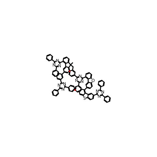 CC1(Cc2cccc(-c3nc(-c4ccccc4)nc(-c4cccc5oc6ccc(-c7cccc8sc9ccc(-c%10nc(-c%11ccccc%11)nc(-c%11ccccc%11)n%10)cc9c78)cc6c45)n3)c2)c2ccc(-c3cccc(-c4nc(-c5ccccc5)nc(-c5ccccc5)n4)c3)cc2-c2c(-c3nc(-c4ccccc4)nc(-c4ccccc4)n3)cccc21